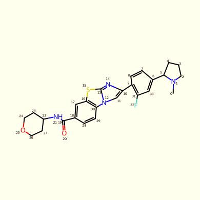 CN1CCCC1c1ccc(-c2cn3c(n2)sc2cc(C(=O)NC4CCOCC4)ccc23)c(F)c1